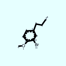 COc1ccc(CCI)cc1Br